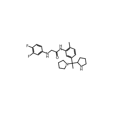 Cc1ccc(C(C)(C2CCCN2)N2CCCC2)cc1NC(=O)CNc1ccc(F)c(F)c1